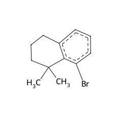 CC1(C)CCCc2cccc(Br)c21